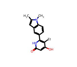 CCc1c(O)cc(=O)[nH]c1-c1ccc2c(c1)cc(C)n2C